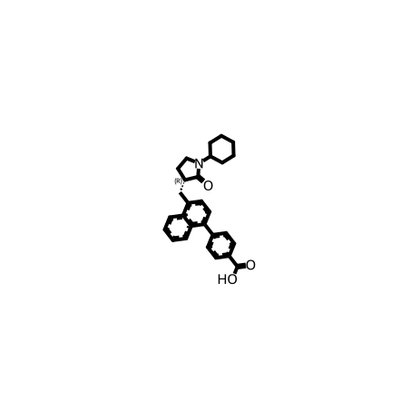 O=C(O)c1ccc(-c2ccc(C[C@@H]3CCN(C4CCCCC4)C3=O)c3ccccc23)cc1